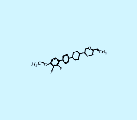 C=CC1CCC(C2CCC(c3ccc(-c4ccc(OCC)c(F)c4F)cc3)CC2)CO1